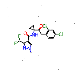 Cn1cc(C(=O)NC2(C(=O)Cc3ccc(Cl)cc3Cl)CC2)c(C(F)F)n1